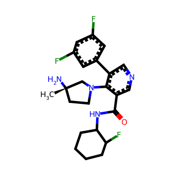 C[C@]1(N)CCN(c2c(C(=O)NC3CCCCC3F)cncc2-c2cc(F)cc(F)c2)C1